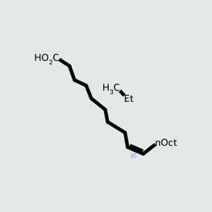 CCC.CCCCCCCC/C=C\CCCCCCCC(=O)O